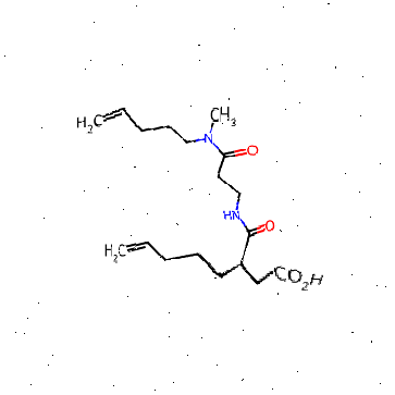 C=CCCC[C@H](CC(=O)O)C(=O)NCCC(=O)N(C)CCCC=C